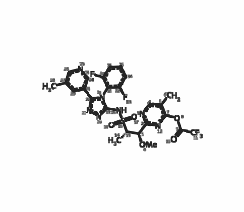 CO[C@H](c1ncc(C)c(OC(=O)C(F)(F)F)n1)[C@H](C)S(=O)(=O)Nc1nnc(-c2cncc(C)c2)n1-c1c(F)cccc1F